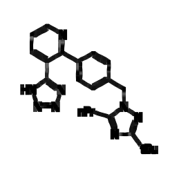 CCCc1nc(C(C)(C)C)nn1Cc1ccc(-c2ncccc2-c2nnn[nH]2)cc1